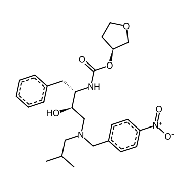 CC(C)CN(Cc1ccc([N+](=O)[O-])cc1)C[C@@H](O)[C@H](Cc1ccccc1)NC(=O)O[C@H]1CCOC1